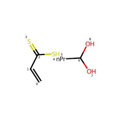 C=CC(=S)S.CCCC(O)O